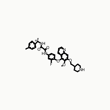 COc1c(OCC2CCNCC2)cc2ncccc2c1Oc1ccc(NC(=O)C(=O)N[C@H](C)c2ccc(C)cc2)cc1F